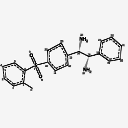 Cc1ccccc1S(=O)(=O)c1ccc([C@H](N)[C@@H](N)c2ccccc2)cc1